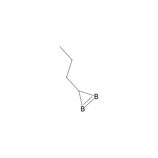 CCCC1B=B1